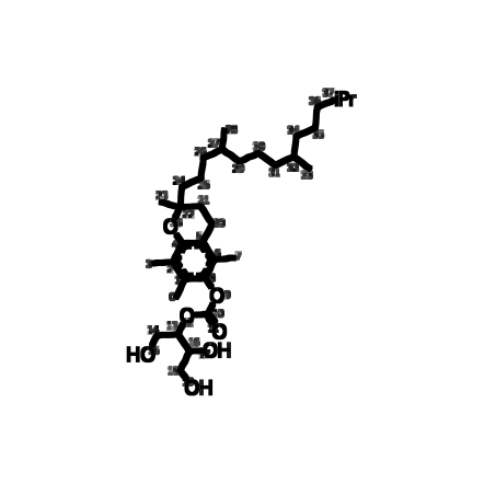 Cc1c(C)c2c(c(C)c1OC(=O)OC(CO)C(O)CO)CCC(C)(CCCC(C)CCCC(C)CCCC(C)C)O2